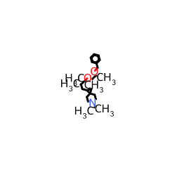 CC(COC(C)(C)C(C)CC1CC12CCN(C(C)C)CC2)OCc1ccccc1